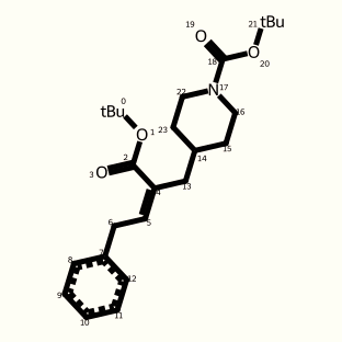 CC(C)(C)OC(=O)/C(=C\Cc1ccccc1)CC1CCN(C(=O)OC(C)(C)C)CC1